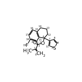 C=C(C)C(=O)OC1(c2ccsc2)CCCc2ccc(F)cc21